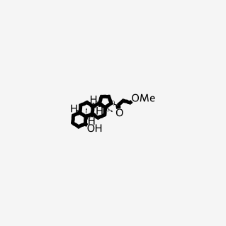 COCCC(=O)[C@H]1CC[C@H]2[C@@H]3CC[C@@H]4CCCC(O)[C@]4(C)[C@H]3CC[C@]12C